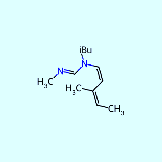 C/C=C(C)\C=C/N(/C=N/C)C(C)CC